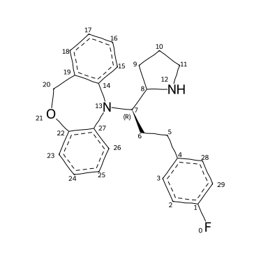 Fc1ccc(CC[C@H](C2CCCN2)N2c3ccccc3COc3ccccc32)cc1